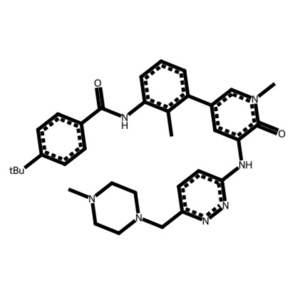 Cc1c(NC(=O)c2ccc(C(C)(C)C)cc2)cccc1-c1cc(Nc2ccc(CN3CCN(C)CC3)nn2)c(=O)n(C)c1